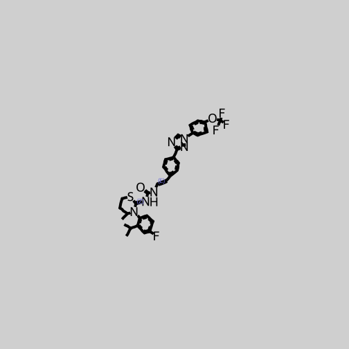 CC(C)c1cc(F)ccc1N1/C(=N/C(=O)N/C=C/c2ccc(-c3ncn(-c4ccc(OC(F)(F)F)cc4)n3)cc2)SCCC1C